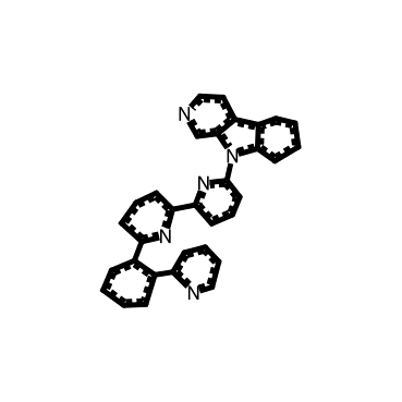 c1ccc(-c2ccccc2-c2cccc(-c3cccc(-n4c5ccccc5c5ccncc54)n3)n2)nc1